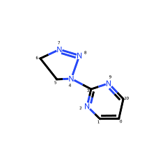 c1cnc(N2CCN=N2)nc1